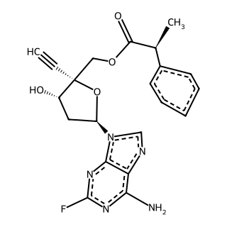 C#C[C@]1(COC(=O)[C@@H](C)c2ccccc2)O[C@@H](n2cnc3c(N)nc(F)nc32)C[C@@H]1O